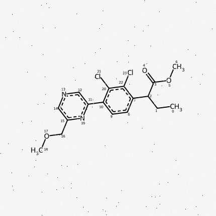 CCC(C(=O)OC)c1ccc(-c2cncc(COC)n2)c(Cl)c1Cl